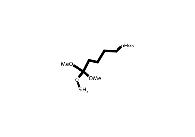 CCCCCCCCCCC(OC)(OC)O[SiH3]